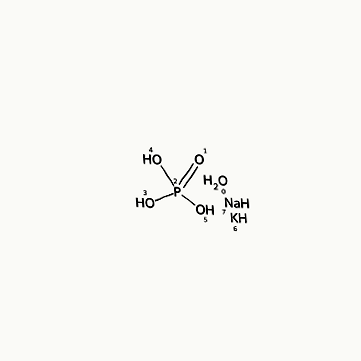 O.O=P(O)(O)O.[KH].[NaH]